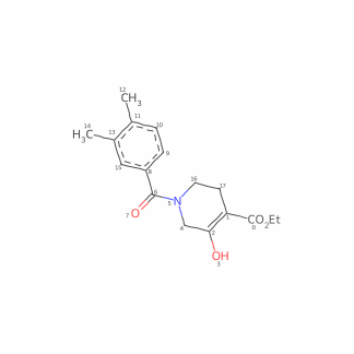 CCOC(=O)C1=C(O)CN(C(=O)c2ccc(C)c(C)c2)CC1